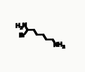 NCCCCCC(N)Br